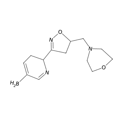 BC1=CCC(C2=NOC(CN3CCOCC3)C2)N=C1